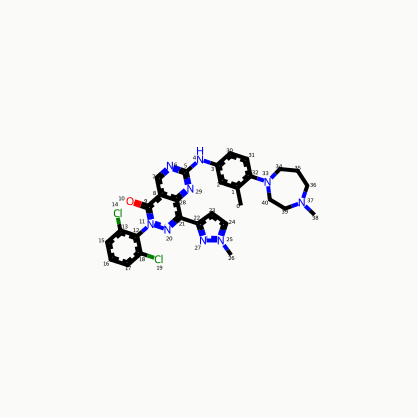 Cc1cc(Nc2ncc3c(=O)n(-c4c(Cl)cccc4Cl)nc(-c4ccn(C)n4)c3n2)ccc1N1CCCN(C)CC1